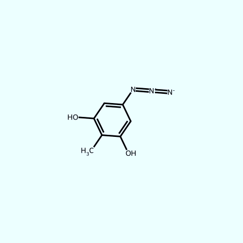 Cc1c(O)cc(N=[N+]=[N-])cc1O